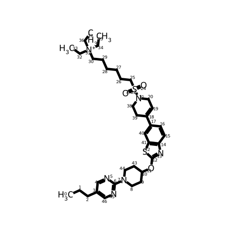 CCCc1cnc(N2CCC(Oc3nc4ccc(C5=CCN(S(=O)(=O)CCCCCC[N+](CC)(CC)CC)CC5)cc4s3)CC2)nc1